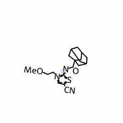 COCCn1cc(C#N)s/c1=N\C(=O)C12CC3CC(CC(C3)C1)C2